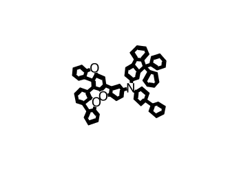 c1ccc(-c2ccc(N(c3ccc4c(c3)C(c3ccccc3)(c3ccccc3)c3ccccc3-4)c3ccc4oc5c(-c6cccc7c6oc6ccccc67)c6c(cc5c4c3)oc3ccccc36)cc2)cc1